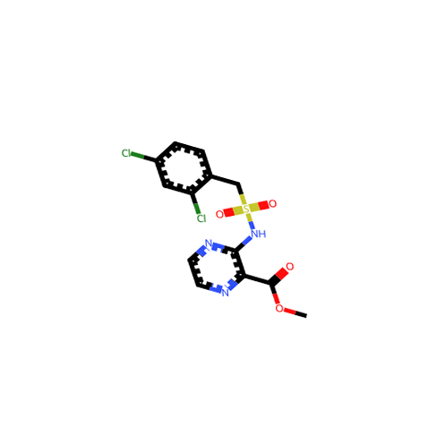 COC(=O)c1nccnc1NS(=O)(=O)Cc1ccc(Cl)cc1Cl